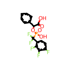 O=C(O)C(OP(=O)(O)C(F)(F)c1ccc(F)c(F)c1F)c1ccccc1